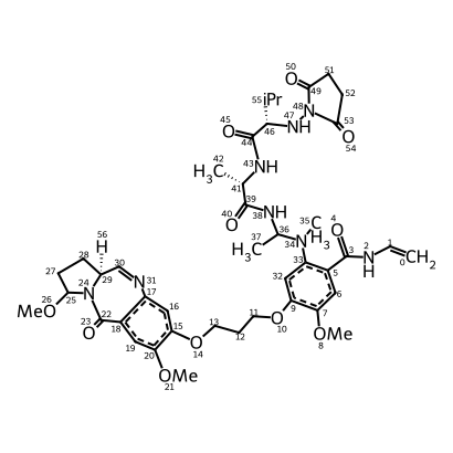 C=CNC(=O)c1cc(OC)c(OCCCOc2cc3c(cc2OC)C(=O)N2C(OC)CC[C@H]2C=N3)cc1N(C)C(C)NC(=O)[C@H](C)NC(=O)[C@@H](NN1C(=O)CCC1=O)C(C)C